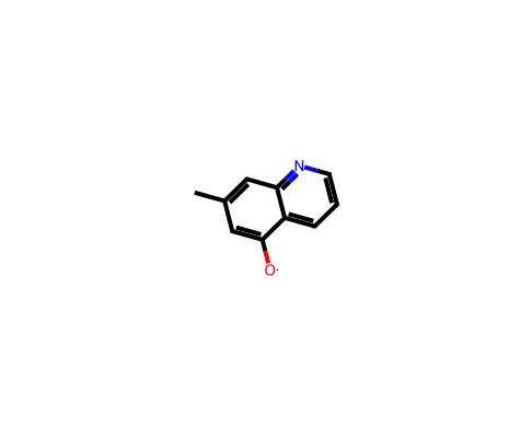 Cc1cc([O])c2cccnc2c1